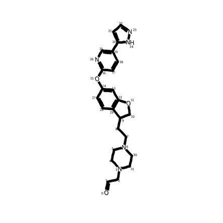 O=CCN1CCN(CCC2COc3cc(Oc4ccc(-c5ccn[nH]5)cn4)ccc32)CC1